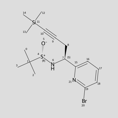 CC(C)(C)[S@+]([O-])N[C@@H](CC#C[Si](C)(C)C)c1cccc(Br)n1